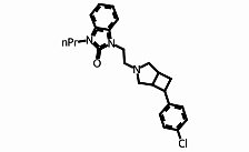 CCCn1c(=O)n(CCN2CC3CC(c4ccc(Cl)cc4)C3C2)c2ccccc21